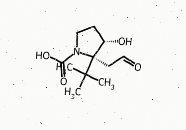 CC(C)(C)[C@]1(CC=O)[C@@H](O)CCN1C(=O)O